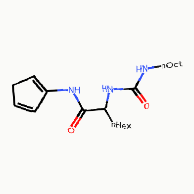 CCCCCCCCNC(=O)NC(CCCCCC)C(=O)NC1=CCC=C1